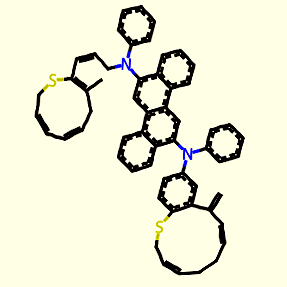 C=C1/C=C\CC/C=C\CSc2ccc(N(c3ccccc3)c3cc4c5ccccc5c(N(C/C=C\C5=C(/C)C/C=C\C=C/CS5)c5ccccc5)cc4c4ccccc34)cc21